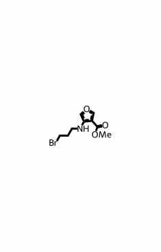 COC(=O)c1cocc1NCCCBr